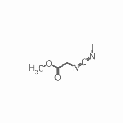 COC(=O)CN=C=NI